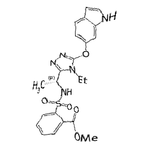 CCn1c(Oc2ccc3cc[nH]c3c2)nnc1[C@@H](C)NS(=O)(=O)c1ccccc1C(=O)OC